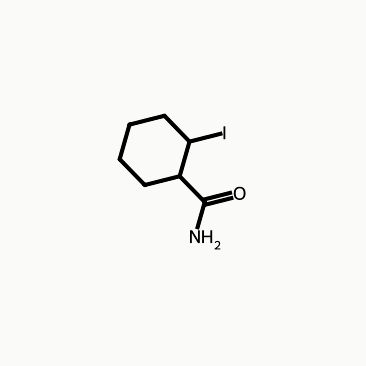 NC(=O)C1CCCCC1I